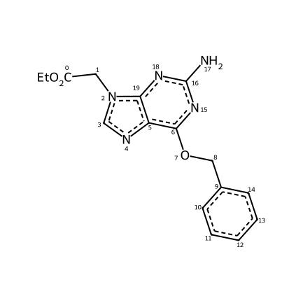 CCOC(=O)Cn1cnc2c(OCc3ccccc3)nc(N)nc21